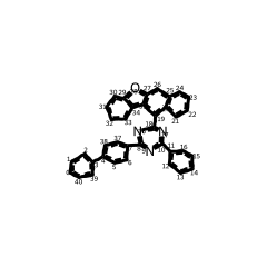 c1ccc(-c2ccc(-c3nc(-c4ccccc4)nc(-c4c5ccccc5cc5oc6ccccc6c45)n3)cc2)cc1